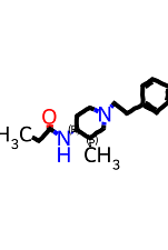 CCC(=O)N[C@@H]1CCN(CCc2ccccc2)C[C@@H]1C